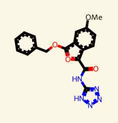 COc1ccc2c(C(=O)Nc3nnn[nH]3)oc(OCc3ccccc3)c2c1